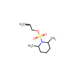 C=CCOS(=O)(=O)N1C(C)CCCC1C